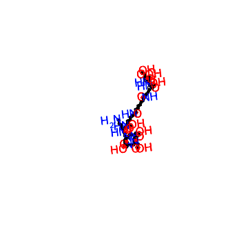 NCCCCC(NC(=O)CN1CCN(CC(=O)O)CCN(CC(=O)O)CCN(CC(=O)O)CC1)C(=O)NC(CCCCNC(=O)CCCCCCC(=O)NCCCC[C@H](NC(=O)N[C@@H](CCC(=O)O)C(=O)O)C(=O)O)C(=O)O